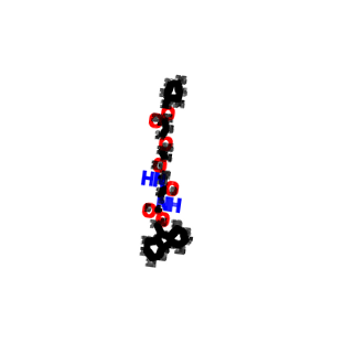 O=C(CNC(=O)OCC1c2ccccc2-c2ccccc21)NCOCCOCCC(=O)OCc1ccccc1